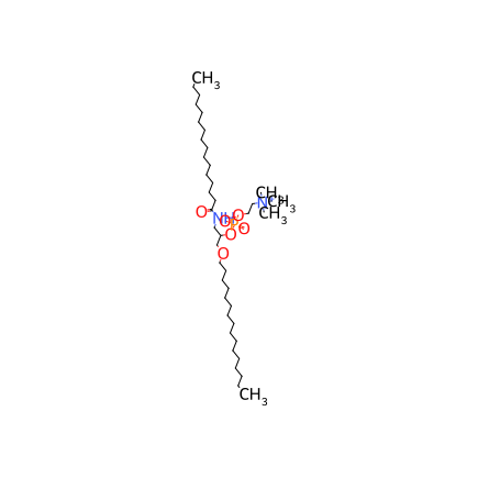 CCCCCCCCCCCCCCCCOCC(CNC(=O)CCCCCCCCCCCCCCC)OP(=O)([O-])OCC[N+](C)(C)C